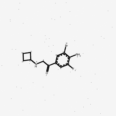 Nc1c(F)cc(C(=O)CNC2CCC2)cc1Br